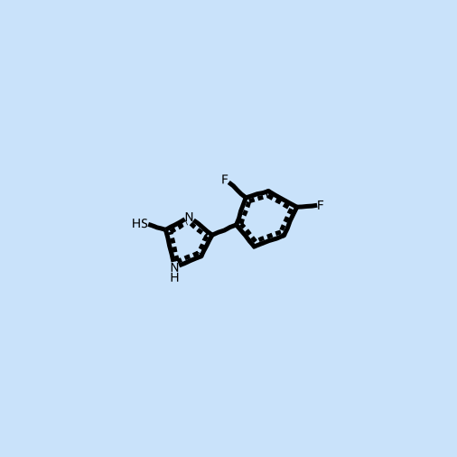 Fc1ccc(-c2c[nH]c(S)n2)c(F)c1